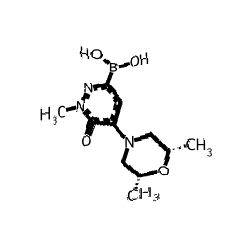 C[C@@H]1CN(c2cc(B(O)O)nn(C)c2=O)C[C@H](C)O1